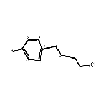 Cc1ccc(CCCCCl)cc1